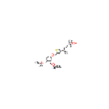 CC/C(=C\CCC(O)(CC)CC)c1csc(COc2ccc(CO[Si](C)(C)C(C)(C)C)c(CO[Si](C)(C)C(C)(C)C)c2)c1